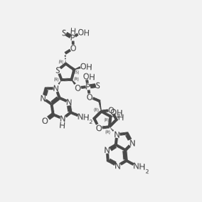 Nc1nc2c(ncn2[C@@H]2S[C@H](CO[PH](O)=S)[C@@H](O)[C@H]2OP(O)(=S)OC[C@@]23CO[C@](n4cnc5c(N)ncnc54)(CO2)[C@@H]3O)c(=O)[nH]1